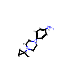 CC1(N2CCN(c3ccc(N)cc3)CC2)CC1